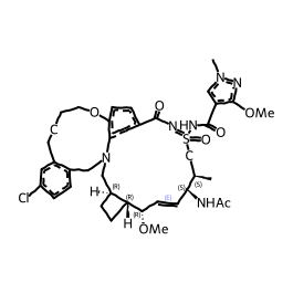 COc1nn(C)cc1C(=O)NS1(=O)=NC(=O)c2ccc3c(c2)N(Cc2ccc(Cl)cc2CCCCO3)C[C@@H]2CC[C@H]2[C@@H](OC)/C=C/[C@H](NC(C)=O)[C@H](C)C1